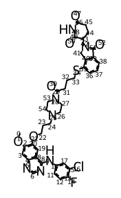 COc1cc2ncnc(Nc3ccc(F)c(Cl)c3)c2cc1OCCCN1CCN(C(=O)CCCSc2cccc3c2CN(C2CCC(=O)NC2=O)C3=O)CC1